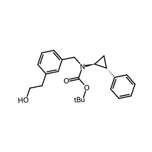 CC(C)(C)OC(=O)N(Cc1cccc(CCO)c1)[C@H]1C[C@@H]1c1ccccc1